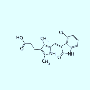 Cc1[nH]c(C=C2C(=O)Nc3cccc(Cl)c32)c(C)c1CCC(=O)O